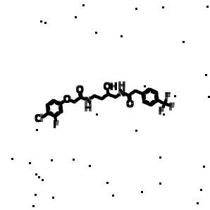 O=C(COc1ccc(Cl)c(F)c1)NCCC(O)CNC(=O)Cc1ccc(C(F)(F)F)cc1